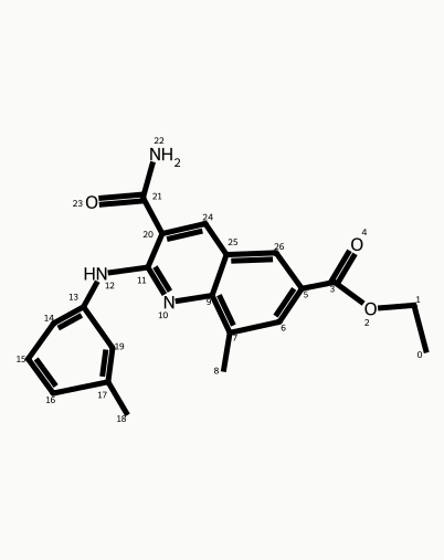 CCOC(=O)c1cc(C)c2nc(Nc3cccc(C)c3)c(C(N)=O)cc2c1